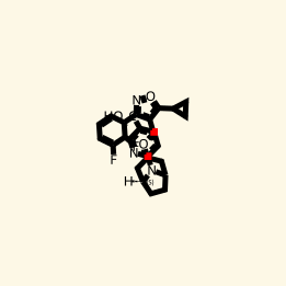 O=C(O)c1ccc(N2C3CC[C@H]2CC(OCc2c(C4C=CC=C(F)C4F)noc2C2CC2)C3)nc1